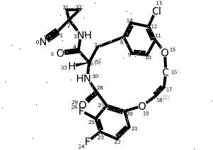 N#CC1(NC(=O)[C@@H]2Cc3ccc(c(Cl)c3)OC/C=C\Oc3ccc(F)c(F)c3C(=O)N2)CC1